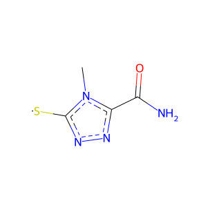 Cn1c([S])nnc1C(N)=O